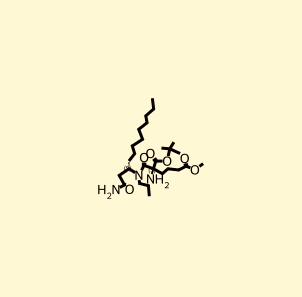 CCCCCCCCC[C@@H](CC(N)=O)N(CCC)C(=O)[C@@](N)(CCCC(=O)OC)C(=O)OC(C)(C)C